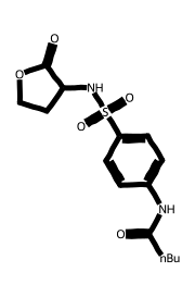 CCCCC(=O)Nc1ccc(S(=O)(=O)NC2CCOC2=O)cc1